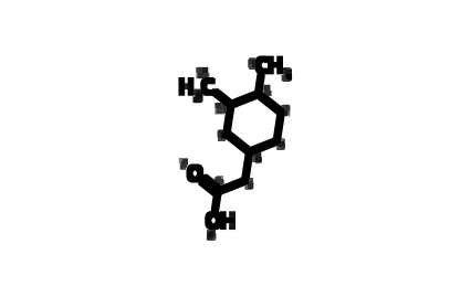 CC1CCC(CC(=O)O)CC1C